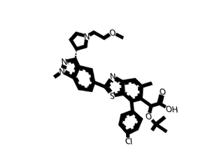 COCCN1CC[C@@H](c2nn(C)c3ccc(-c4nc5cc(C)c(C(OC(C)(C)C)C(=O)O)c(-c6ccc(Cl)cc6)c5s4)cc23)C1